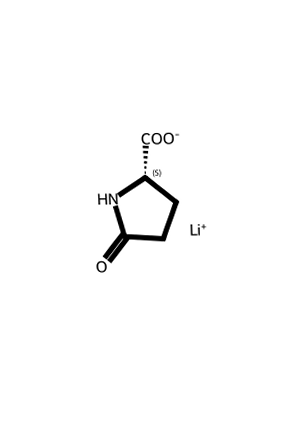 O=C1CC[C@@H](C(=O)[O-])N1.[Li+]